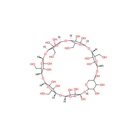 OCC1O[C@@H]2O[C@@H]3C(CO)O[C@H](O[C@@H]4C(CO)O[C@H](O[C@]5(O)CO[C@H](O[C@]6(O)CO[C@H](O[C@@H]7C(CO)O[C@H](O[C@@H]8C(CO)O[C@H](O[C@H]1C(O)C2O)C(O)C8O)C(O)C7O)C(O)C6O)C(O)C5O)C(O)C4O)C(O)C3O